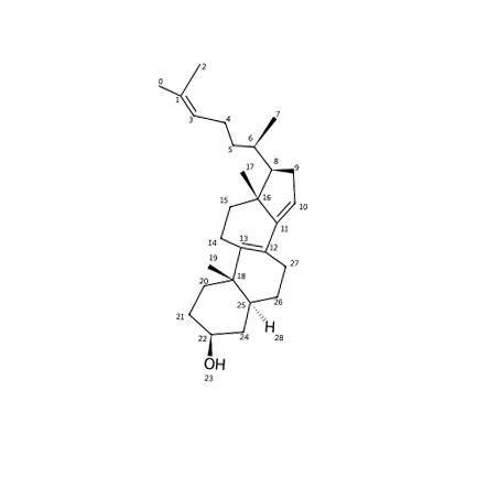 CC(C)=CCC[C@@H](C)[C@H]1CC=C2C3=C(CC[C@@]21C)[C@@]1(C)CC[C@H](O)C[C@@H]1CC3